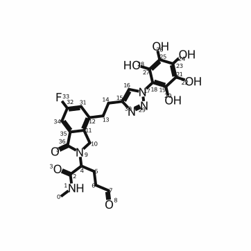 CNC(=O)C(CCC=O)N1Cc2c(CCc3cn(-c4c(O)c(O)c(O)c(O)c4O)nn3)cc(F)cc2C1=O